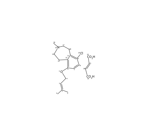 CC(C)=CCOc1ccc(Cl)c2c1CCN(C)CC2.O=C(O)C=CC(=O)O